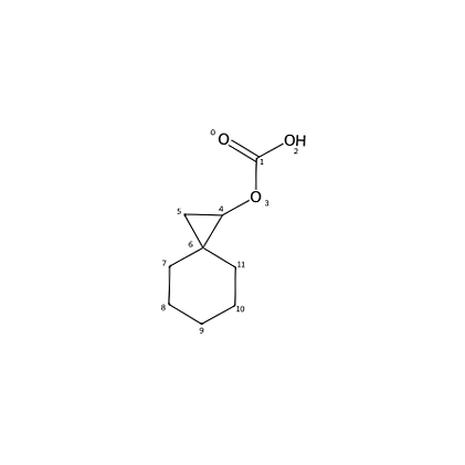 O=C(O)OC1CC12CCCCC2